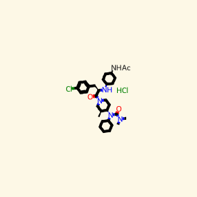 CC(=O)N[C@H]1CC[C@@H](N[C@H](Cc2ccc(Cl)cc2)C(=O)N2CC[C@H](N(C(=O)N(C)C)C3CCCCC3)[C@@H](C)C2)CC1.Cl